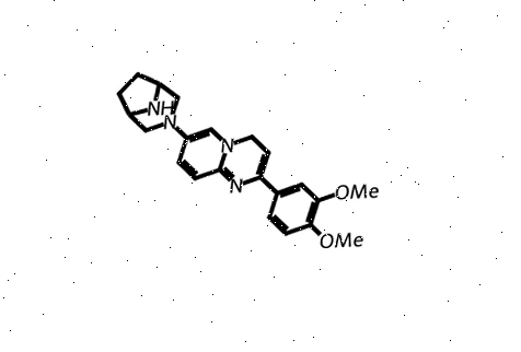 COc1ccc(C2=CCN3C=C(N4CC5CCC(C4)N5)C=CC3=N2)cc1OC